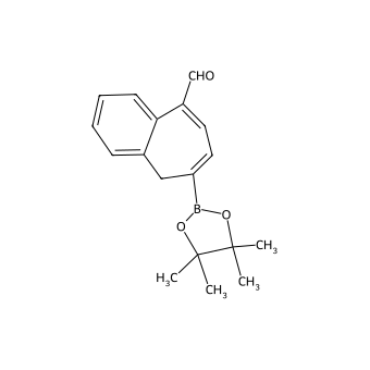 CC1(C)OB(C2=CC=C(C=O)c3ccccc3C2)OC1(C)C